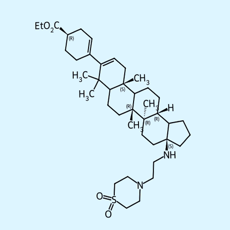 CCOC(=O)[C@H]1CC=C(C2=CC[C@@]3(C)C(CC[C@]4(C)C3CC[C@@H]3C5CCC[C@]5(NCCN5CCS(=O)(=O)CC5)CC[C@]34C)C2(C)C)CC1